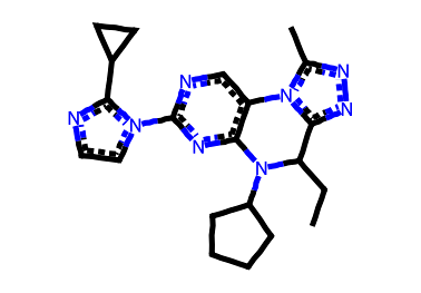 CCC1c2nnc(C)n2-c2cnc(-n3ccnc3C3CC3)nc2N1C1CCCC1